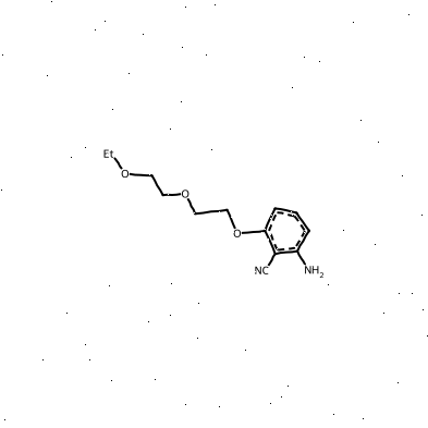 CCOCCOCCOc1cccc(N)c1C#N